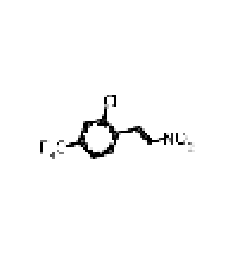 O=[N+]([O-])/C=C/c1ccc(C(F)(F)F)cc1Cl